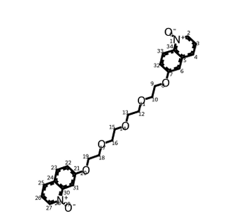 [O-][n+]1cccc2cc(OCCOCCOCCOCCOc3ccc4ccc[n+]([O-])c4c3)ccc21